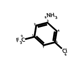 FC(F)(F)c1cccc(Cl)c1.N